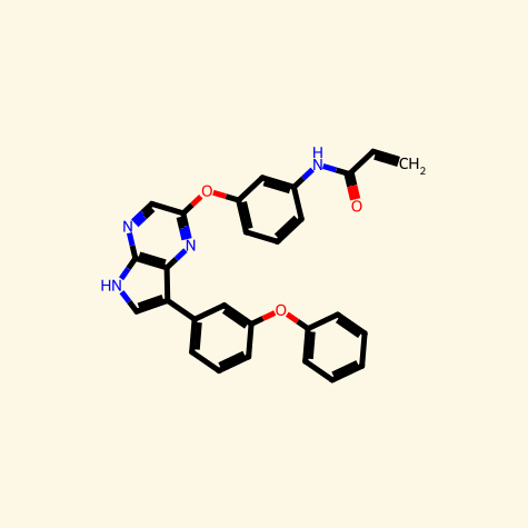 C=CC(=O)Nc1cccc(Oc2cnc3[nH]cc(-c4cccc(Oc5ccccc5)c4)c3n2)c1